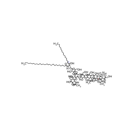 CCCCCCCCCCCCC/C=C/[C@@H](O)[C@H](CO[C@@H]1OC(CO)[C@@H](O[C@@H]2OC(CO)[C@H](O[C@@H]3OC(CO)[C@H](O)[C@H](O)C3NC(C)=O)[C@H](O[C@H]3OC(CO)[C@H](O)[C@H](O[C@@H]4OC(CO)[C@@H](O[C@@H]5OC(CO)[C@H](O)[C@H](O[C@]6(C(=O)O)CC(O)[C@@H](NC(C)=O)C([C@H](O)[C@H](O)CO)O6)C5O)[C@H](O)C4NC(C)=O)C3O)C2O)[C@H](O)C1O)NC(=O)CCCCCCCCCCCCCCCCCCCCCCCCC